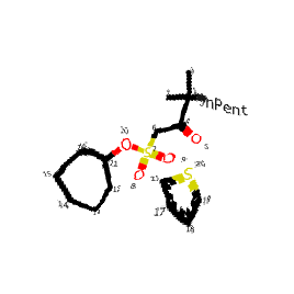 CCCCCC(C)(C)C(=O)CS(=O)(=O)OC1CCCCC1.c1ccsc1